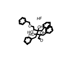 F.O=CC(O)(Cc1ccccc1)C(O)(Cc1ccccc1)C(O)(Cc1ccccc1)C(O)COCc1ccccc1